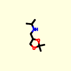 CC(C)NCC1COC(C)(C)O1